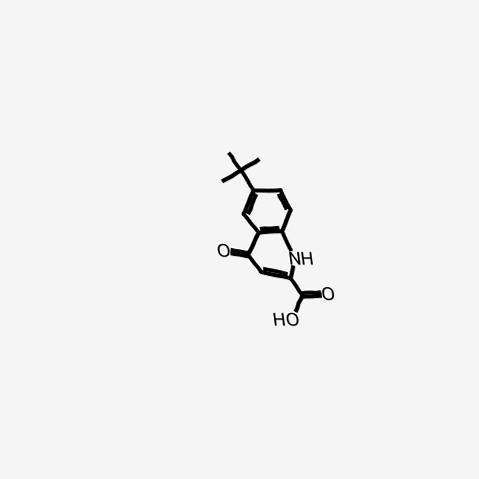 CC(C)(C)c1ccc2[nH]c(C(=O)O)cc(=O)c2c1